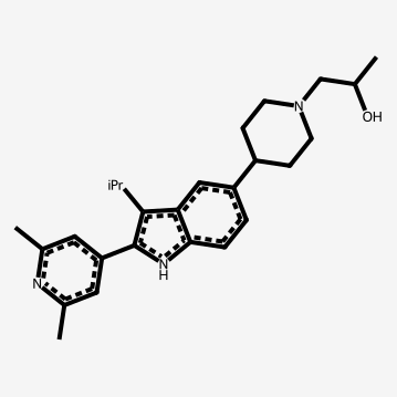 Cc1cc(-c2[nH]c3ccc(C4CCN(CC(C)O)CC4)cc3c2C(C)C)cc(C)n1